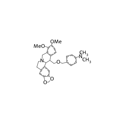 COc1ccc2c(c1OC)CN1CCc3cc4c(cc3C1C2COCc1ccc(N(C)C)cc1)OCO4